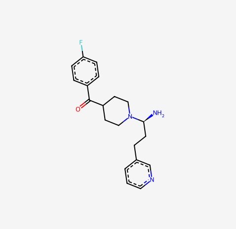 N[C@@H](CCc1cccnc1)N1CCC(C(=O)c2ccc(F)cc2)CC1